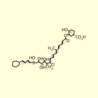 CC(/C=C/C=C/C(=O)O[C@@H]1C[C@@H](C(=O)O)CC[C@@H]1O)=C\C=C\C=C(/Cl)[C@@H](C)[C@@H](O)[C@H](O)[C@H](O)C[C@@H](O)/C=C/C=C/C1CCCCC1